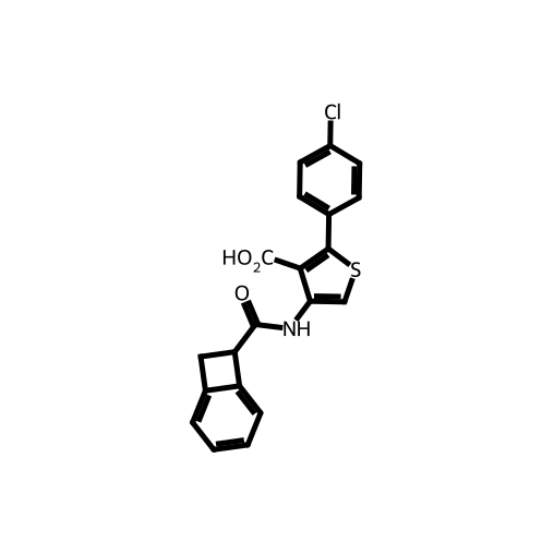 O=C(O)c1c(NC(=O)C2Cc3ccccc32)csc1-c1ccc(Cl)cc1